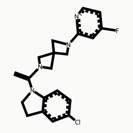 C=C(N1CC2(C1)CN(c1cc(F)ccn1)C2)N1CCc2cc(Cl)ccc21